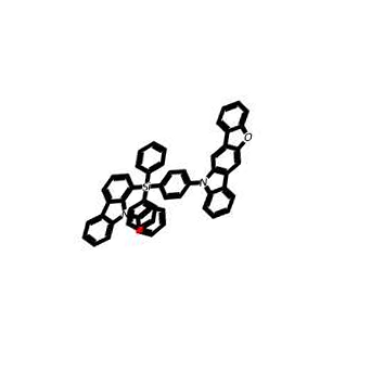 c1ccc(-n2c3ccccc3c3cccc([Si](c4ccccc4)(c4ccccc4)c4ccc(-n5c6ccccc6c6cc7oc8ccccc8c7cc65)cc4)c32)cc1